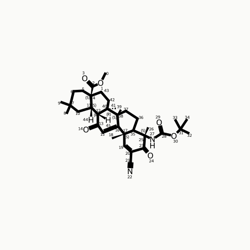 COC(=O)[C@]12CCC(C)(C)C[C@H]1[C@H]1C(=O)C=C3[C@@]4(C)C=C(C#N)C(=O)[C@@](C)(NC(=O)OC(C)(C)C)C4CC[C@@]3(C)[C@]1(C)CC2